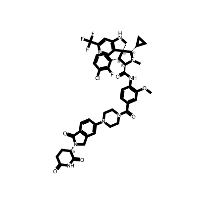 COc1cc(C(=O)N2CCN(c3ccc4c(c3)CN([C@H]3CCC(=O)NC3=O)C4=O)CC2)ccc1NC(=O)[C@H]1[C@H](c2cccc(Cl)c2F)[C@]2(CNc3cc(C(F)(F)F)ncc32)[C@H](C2CC2)N1C